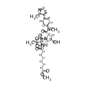 COC(=O)CCCCCCC(=O)N[C@@H](C(=O)N1C[C@H](O)C[C@H]1C(=O)N(C)c1ccc(-c2scnc2C)cc1)C(C)(C)C